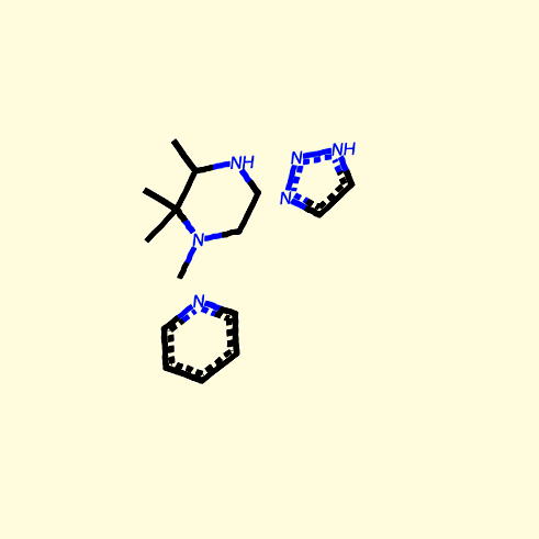 CC1NCCN(C)C1(C)C.c1c[nH]nn1.c1ccncc1